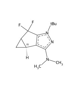 CN(C)c1nn(C(C)(C)C)c2c1[C@H]1CC1C2(F)F